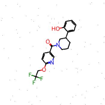 O=C(c1ccc(OCC(F)(F)F)nc1)N1CCCC(c2ccccc2O)C1